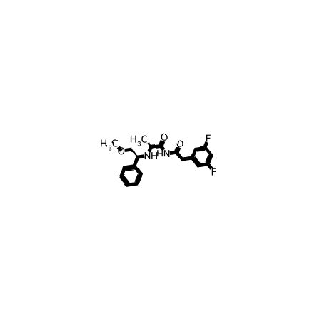 COC[C@@H](N[C@@H](C)C(=O)NC(=O)Cc1cc(F)cc(F)c1)c1ccccc1